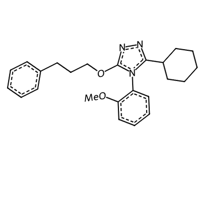 COc1ccccc1-n1c(OCCCc2ccccc2)nnc1C1CCCCC1